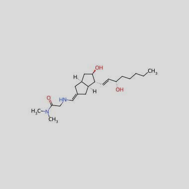 CCCCC[C@H](O)/C=C/[C@@H]1[C@H]2C/C(=C/NCC(=O)N(C)C)C[C@H]2C[C@H]1O